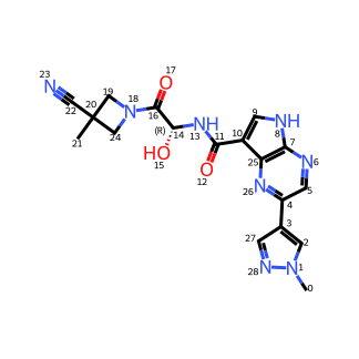 Cn1cc(-c2cnc3[nH]cc(C(=O)N[C@H](O)C(=O)N4CC(C)(C#N)C4)c3n2)cn1